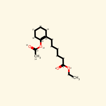 CCOC(=O)CCCCCC1=C(OC(C)=O)CCCC1